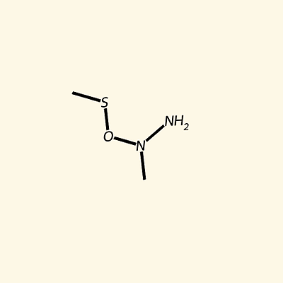 CSON(C)N